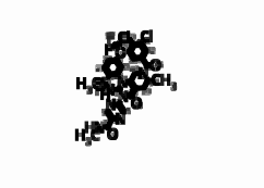 CNC(=O)c1cnc(-n2c(N[Si@@H](C)c3ccc(OC(F)(F)F)cc3)nc3c(c2=O)C[C@@H](C)N(C(=O)c2ccc(Cl)c(Cl)c2)C3)cn1